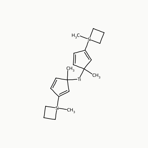 C[C]1([Ti][C]2(C)C=CC([Si]3(C)CCC3)=C2)C=CC([Si]2(C)CCC2)=C1